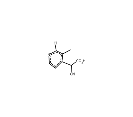 Cc1c(C(C#N)C(=O)O)ccnc1Cl